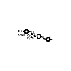 CC(=O)Nc1c(C)ccc(Nc2ncnc(N3CCC(OCc4ccc(F)c(F)c4)CC3)n2)c1C